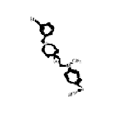 CC(C)Oc1ccc(N(C)CCC2(O)CCN(Cc3cccc(Br)c3)CC2)cc1